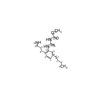 CCCSc1ccc(CCC=N)c(NC(=S)NC(=O)OC)c1